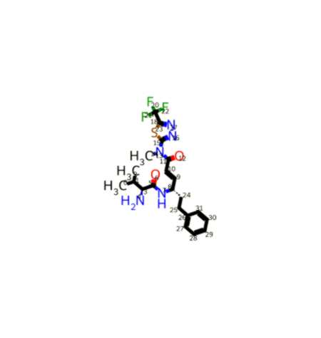 CC(C)[C@H](N)C(=O)N[C@H](/C=C/C(=O)N(C)c1nnc(C(F)(F)F)s1)CCc1ccccc1